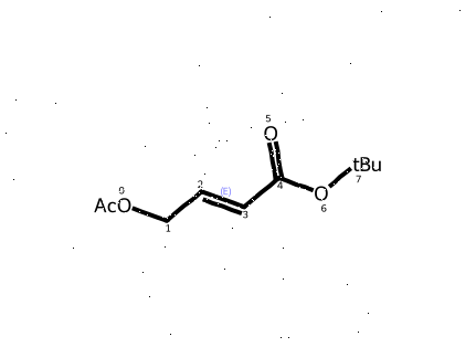 CC(=O)OC/C=C/C(=O)OC(C)(C)C